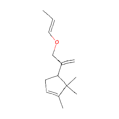 C=C(COC=CC)C1CC=C(C)C1(C)C